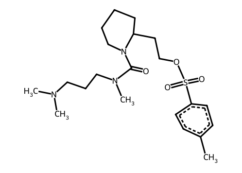 Cc1ccc(S(=O)(=O)OCCC2CCCCN2C(=O)N(C)CCCN(C)C)cc1